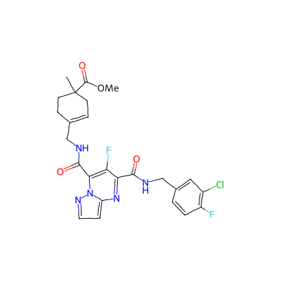 COC(=O)C1(C)CC=C(CNC(=O)c2c(F)c(C(=O)NCc3ccc(F)c(Cl)c3)nc3ccnn23)CC1